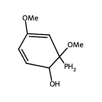 COC1=CC(P)(OC)C(O)C=C1